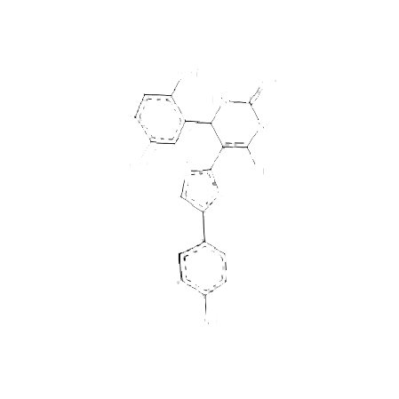 CC1=C(c2nc(-c3ccc(N)cc3)cs2)C(c2cc(O)ccc2O)NC(=O)N1